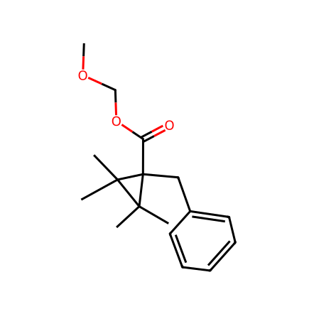 COCOC(=O)C1(Cc2ccccc2)C(C)(C)C1(C)C